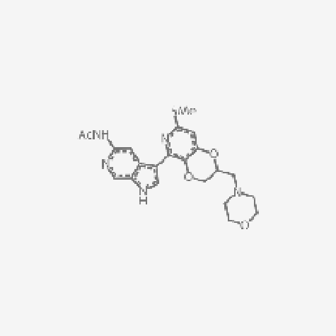 CSc1cc2c(c(-c3c[nH]c4cnc(NC(C)=O)cc34)n1)OCC(CN1CCOCC1)O2